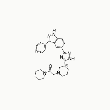 O=C(CN1CCC[C@@H](c2nc(-c3ccc4[nH]nc(-c5ccncc5)c4c3)n[nH]2)C1)N1CCCCC1